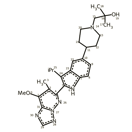 COc1c(C)c(-c2[nH]c3ccc(C4CCN(CC(C)(C)O)CC4)cc3c2C(C)C)nn2ncnc12